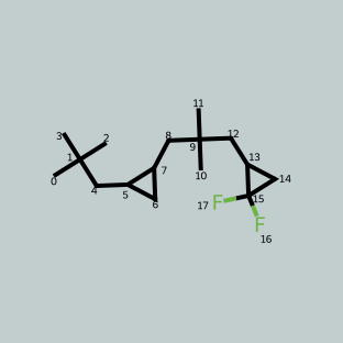 CC(C)(C)CC1CC1CC(C)(C)CC1CC1(F)F